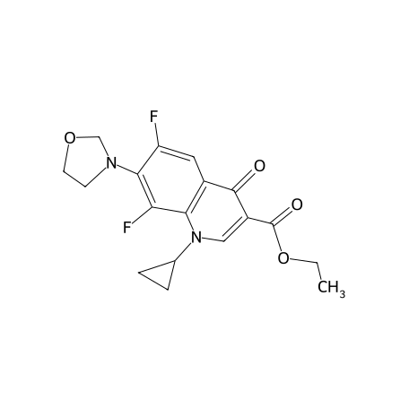 CCOC(=O)c1cn(C2CC2)c2c(F)c(N3CCOC3)c(F)cc2c1=O